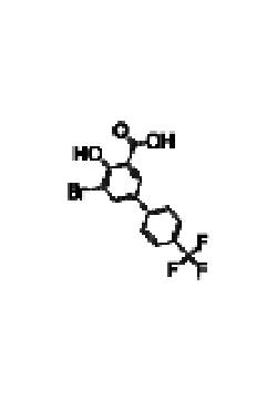 O=C(O)c1cc(-c2ccc(C(F)(F)F)cc2)cc(Br)c1O